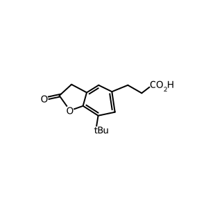 CC(C)(C)c1cc(CCC(=O)O)cc2c1OC(=O)C2